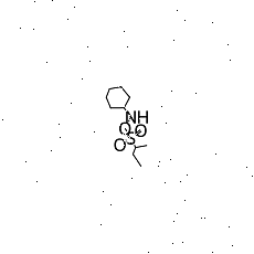 CCC(C)S(=O)(=O)ONC1CCCCC1